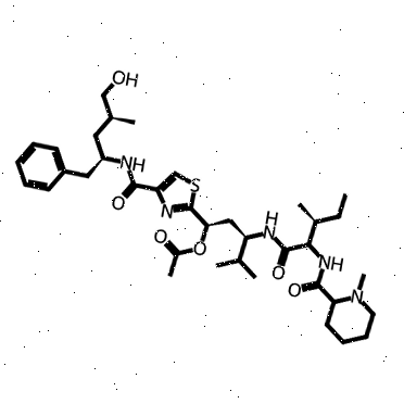 CC[C@H](C)C(NC(=O)C1CCCCN1C)C(=O)N[C@H](C[C@@H](OC(C)=O)c1nc(C(=O)N[C@@H](Cc2ccccc2)C[C@H](C)CO)cs1)C(C)C